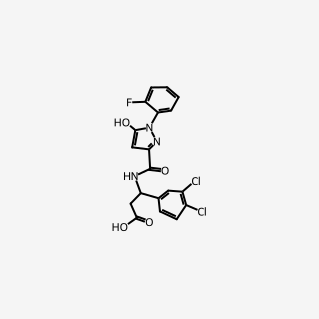 O=C(O)CC(NC(=O)c1cc(O)n(-c2ccccc2F)n1)c1ccc(Cl)c(Cl)c1